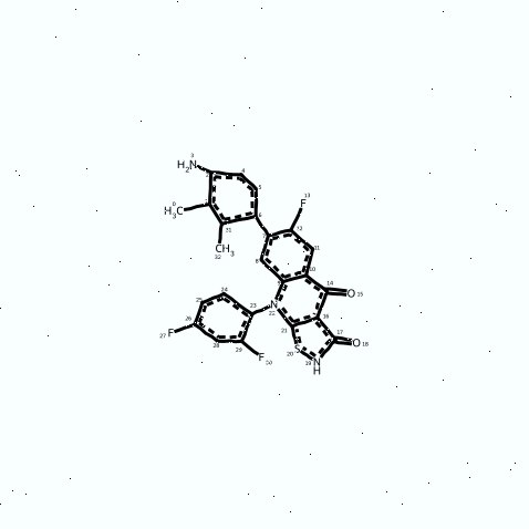 Cc1c(N)ccc(-c2cc3c(cc2F)c(=O)c2c(=O)[nH]sc2n3-c2ccc(F)cc2F)c1C